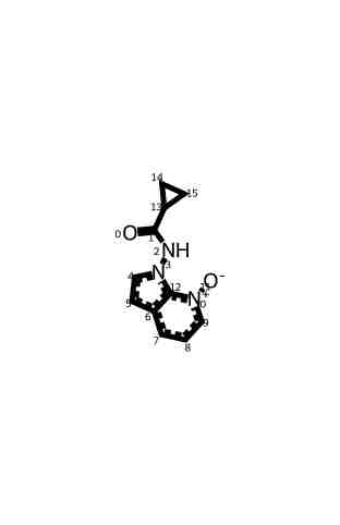 O=C(Nn1ccc2ccc[n+]([O-])c21)C1CC1